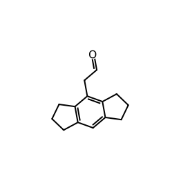 O=CCc1c2c(cc3c1CCC3)CCC2